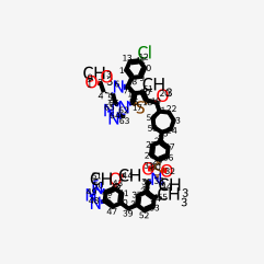 COC(=O)C[C@@H]1N=C(c2ccc(Cl)cc2)c2c(sc(C(=O)C3CCCC(c4ccc(S(=O)(=O)N(C)Cc5cc(Cc6cc(OC)c7c(c6)nnn7C)ccc5C)cc4)CC3)c2C)-n2cnnc21